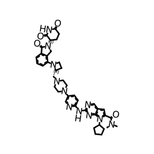 CN(C)C(=O)c1cc2cnc(Nc3ccc(N4CCN(C[C@H]5CCN5c5cccc6c5CN([C@H]5CCC(=O)NC5=O)C6=O)CC4)cn3)nc2n1C1CCCC1